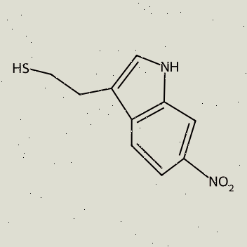 O=[N+]([O-])c1ccc2c(CCS)c[nH]c2c1